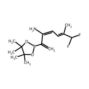 C=C(B1OC(C)(C)C(C)(C)O1)/C(N)=C\C=C(/C)C(F)F